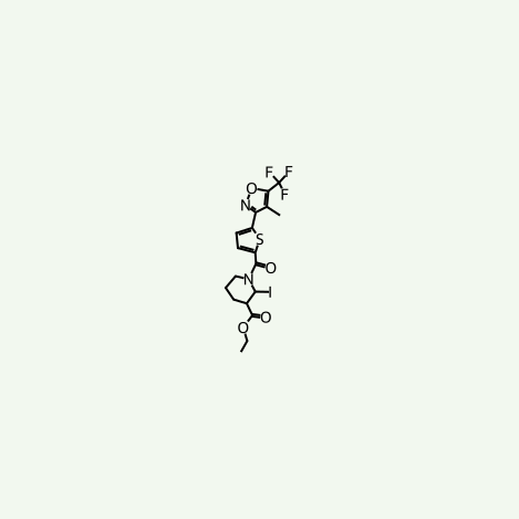 CCOC(=O)C1CCCN(C(=O)c2ccc(-c3noc(C(F)(F)F)c3C)s2)C1I